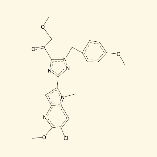 COCC(=O)c1nc(-c2cc3nc(OC)c(Cl)cc3n2C)nn1Cc1ccc(OC)cc1